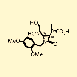 COc1ccc(CN2C(=O)[C@H](NC(=O)O)[C@@H]2[C@H](O)CO)c(OC)c1